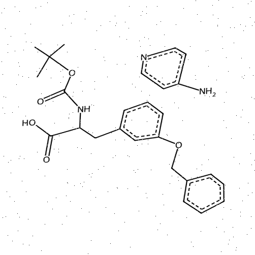 CC(C)(C)OC(=O)NC(Cc1cccc(OCc2ccccc2)c1)C(=O)O.Nc1ccncc1